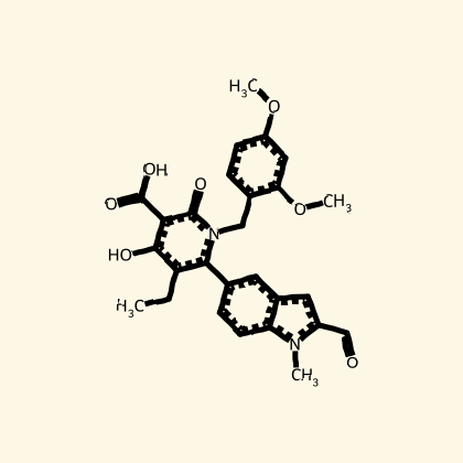 CCc1c(O)c(C(=O)O)c(=O)n(Cc2ccc(OC)cc2OC)c1-c1ccc2c(c1)cc(C=O)n2C